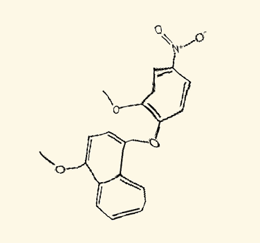 COc1cc([N+](=O)[O-])ccc1Oc1ccc(OC)c2ccccc12